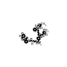 CCn1nc(C)cc1Nc1nc2ccccc2n1C/C=C/Cn1c(NC(=O)c2cc(C)nn2CC)nc2cc(C(=O)N(C)CCCNC(=O)COc3cccc4c3C(=O)N(C3CCC(=O)NC3=O)C4=O)ccc21